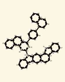 c1ccc2c(-c3ccc(-c4nc(-n5c6ccccc6c6cc7ccc8c9ccccc9sc8c7cc65)nc5c4ccc4ccccc45)cc3)cccc2c1